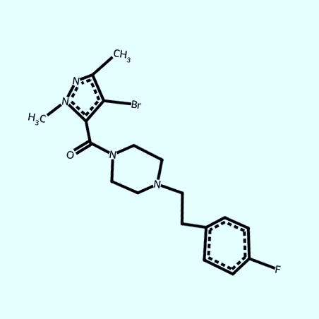 Cc1nn(C)c(C(=O)N2CCN(CCc3ccc(F)cc3)CC2)c1Br